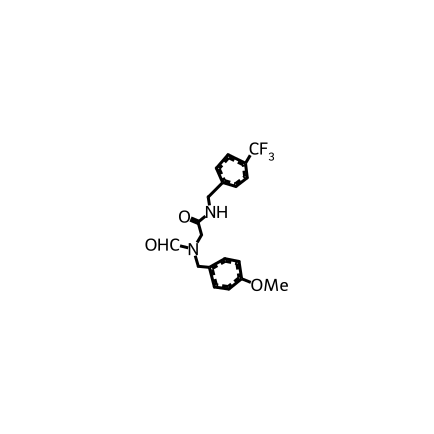 COc1ccc(CN(C=O)CC(=O)NCc2ccc(C(F)(F)F)cc2)cc1